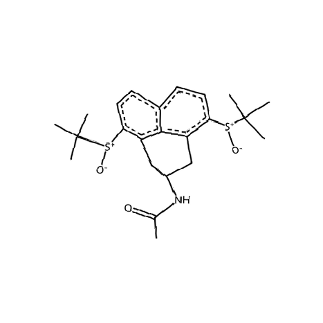 CC(=O)NC1Cc2c([S+]([O-])C(C)(C)C)ccc3ccc([S+]([O-])C(C)(C)C)c(c23)C1